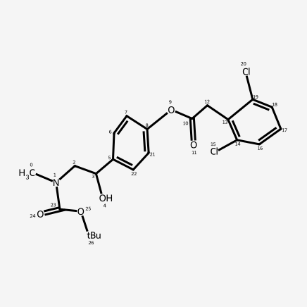 CN(CC(O)c1ccc(OC(=O)Cc2c(Cl)cccc2Cl)cc1)C(=O)OC(C)(C)C